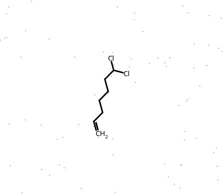 C=CCCCCC(Cl)Cl